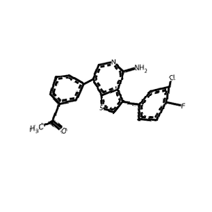 CC(=O)c1cccc(-c2cnc(N)c3c(-c4ccc(F)c(Cl)c4)csc23)c1